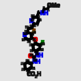 COCCNCc1ccc(-c2cc3nccc(Oc4ccc(NC(=O)Nc5cccc(C(=O)O)c5)cc4F)c3s2)nc1